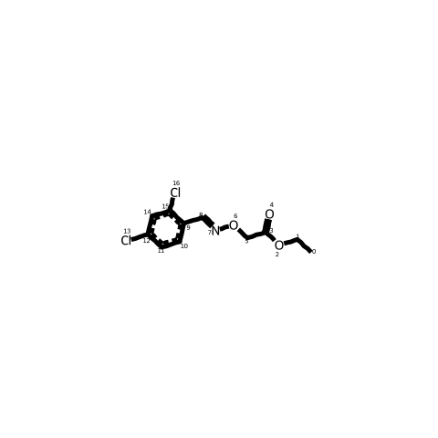 CCOC(=O)CO/N=C/c1c[c]c(Cl)cc1Cl